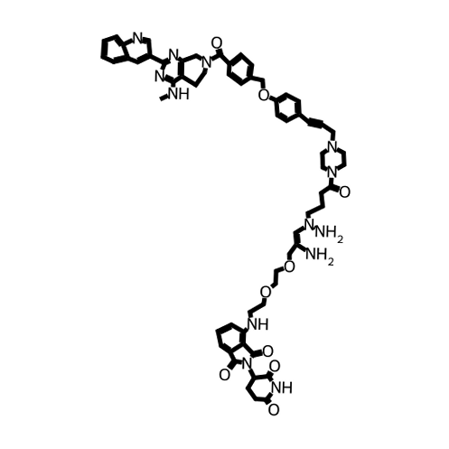 CNc1nc(-c2cnc3ccccc3c2)nc2c1CCN(C(=O)c1ccc(COc3ccc(C#CCN4CCN(C(=O)CCCN(N)/C=C(\N)COCCOCCNc5cccc6c5C(=O)N(C5CCC(=O)NC5=O)C6=O)CC4)cc3)cc1)C2